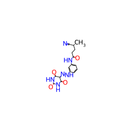 CC(C#N)CCC(=O)Nc1cccc(NN=C2C(=O)NC(=O)NC2=O)c1